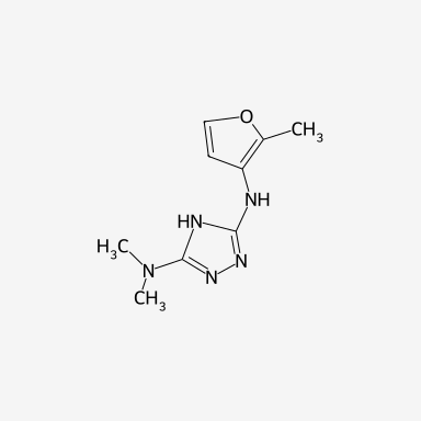 Cc1occc1Nc1nnc(N(C)C)[nH]1